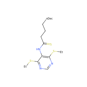 CCCCCCCCCCCCCC(=S)Nc1c(SCC)ncnc1SCC